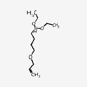 C=CCOCCCC[SiH](OCC)OCC